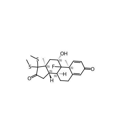 CSC1(SC)C(=O)C[C@H]2[C@@H]3CCC4=CC(=O)C=C[C@]4(C)C3(F)[C@@H](O)C[C@@]21C